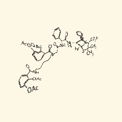 CC(=O)Oc1cccc(C(=O)NCCCCN(CC(=O)N[C@@H](C(=O)N[C@@H]2C(=O)N3[C@@H](C(=O)O)C(C)(C)S[C@@H]23)c2ccccc2)C(=O)c2cccc(OC(C)=O)c2OC(C)=O)c1OC(C)=O